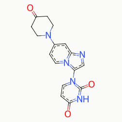 O=C1CCN(c2ccn3c(-n4ccc(=O)[nH]c4=O)cnc3c2)CC1